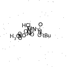 CCN1C(=O)N(Cc2ccc(S(C)(=O)=O)cc2)C(=O)C12CCN(CC1CN(C(=O)CC(C)(C)C)CC1c1ccccc1)CC2.Cl